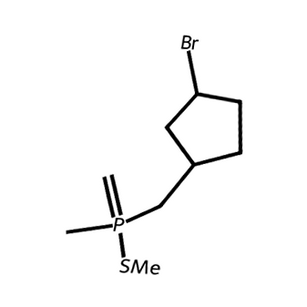 C=P(C)(CC1CCC(Br)C1)SC